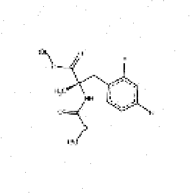 CC(C)(C)OC(=O)N[C@@](C)(Cc1ccc(Br)cc1F)C(=O)OC(C)(C)C